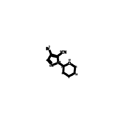 N#Cc1c(Br)cnn1C1CCCCO1